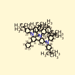 Cc1cc2c(cc1N1B3c4c(cc(-c5ccccc5)cc4-n4c5ccc(C(C)(C)C)cc5c5cc(C(C)(C)C)cc3c54)-c3ccc(N(c4ccc(C(C)(C)C)cc4)c4ccc(C(C)(C)C)cc4)cc31)C(C)(C)CCC2(C)C